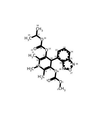 COC(=O)OC1=C(C)N(C)C(C)=C(OC(=O)OC(C)C)C1c1cccc2nonc12